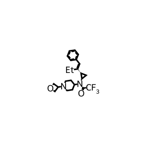 CC/C(=C\c1ccccc1)[C@@H]1C[C@H]1N(C(=O)C(F)(F)F)C1CCN(C2COC2)CC1